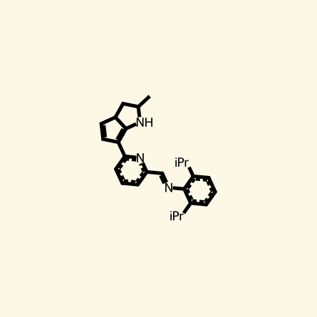 CC1CC2C=CC(c3cccc(/C=N/c4c(C(C)C)cccc4C(C)C)n3)=C2N1